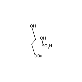 CC(C)COCCO.O=S(=O)(O)O